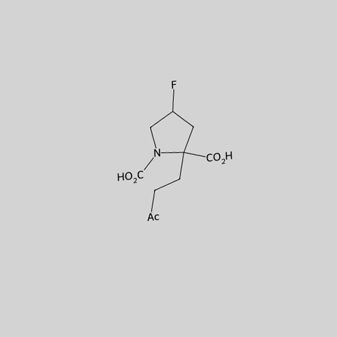 CC(=O)CCC1(C(=O)O)CC(F)CN1C(=O)O